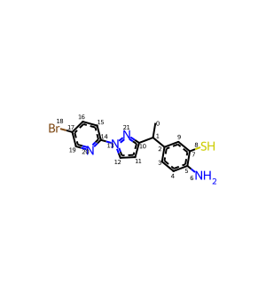 CC(c1ccc(N)c(S)c1)c1ccn(-c2ccc(Br)cn2)n1